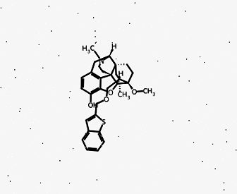 CO[C@]12CC[C@@]3(C[C@]1(C)COCc1cc4ccccc4s1)[C@H]1Cc4ccc(O)c5c4[C@@]3(CCN1C)[C@H]2O5